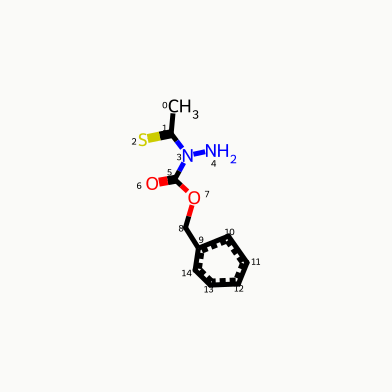 CC(=S)N(N)C(=O)OCc1ccccc1